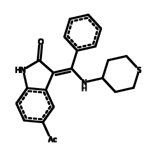 CC(=O)c1ccc2c(c1)C(=C(NC1CCSCC1)c1ccccc1)C(=O)N2